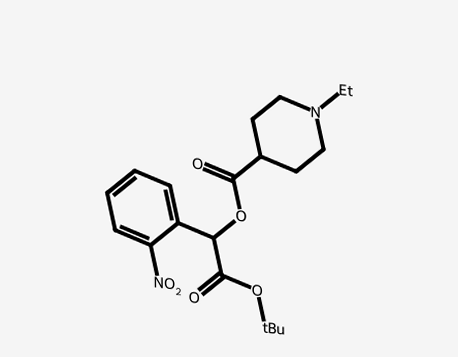 CCN1CCC(C(=O)OC(C(=O)OC(C)(C)C)c2ccccc2[N+](=O)[O-])CC1